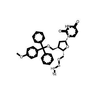 [3H]PSOC[C@H]1O[C@@H](n2ccc(=O)[nH]c2=O)C[C@@H]1COC(c1ccccc1)(c1ccccc1)c1ccc(OC)cc1